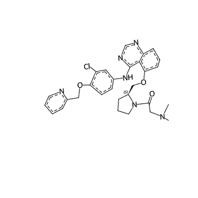 CN(C)CC(=O)N1CCC[C@H]1COc1cccc2ncnc(Nc3ccc(OCc4ccccn4)c(Cl)c3)c12